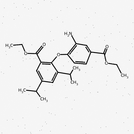 CCOC(=O)c1ccc(Oc2c(C(=O)OCC)cc(C(C)C)cc2C(C)C)c(N)c1